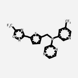 FC(F)(F)c1cncc(N(Cc2ccc(-c3noc(C(F)(F)F)n3)s2)c2cnccn2)c1